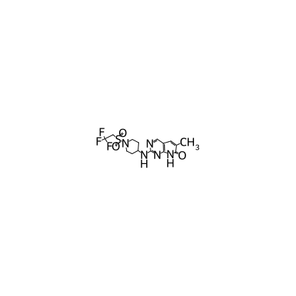 Cc1cc2cnc(NC3CCN(S(=O)(=O)CC(F)(F)F)CC3)nc2[nH]c1=O